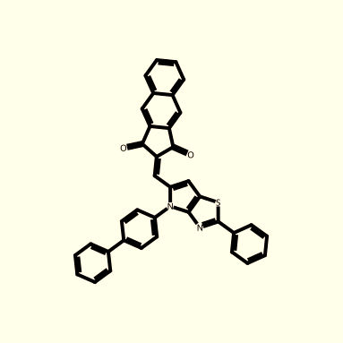 O=C1C(=Cc2cc3sc(-c4ccccc4)nc3n2-c2ccc(-c3ccccc3)cc2)C(=O)c2cc3ccccc3cc21